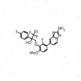 CCC(F)(F)C(O)(COc1c(OC)ccc(-c2ccn3nc(N)nc3c2)c1F)c1ccc(F)cc1